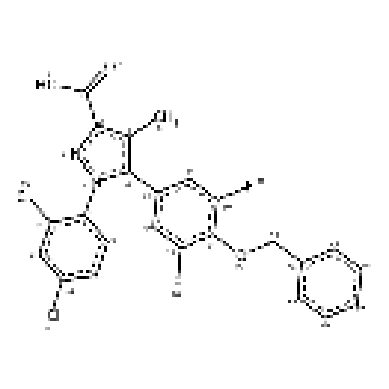 Cc1c(C(=O)O)nn(-c2ccc(Cl)cc2Cl)c1-c1cc(F)c(OCc2ccccc2)c(F)c1